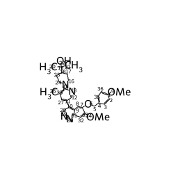 COc1ccc(COc2cc3c(-c4cnc(N5CCC(C(C)(C)O)CC5)c(C)c4)cnnc3cc2OC)cc1